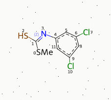 CS/C(S)=N\c1cc(Cl)cc(Cl)c1